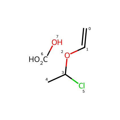 C=COC(C)Cl.O=C(O)O